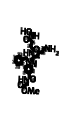 COC(=O)CNC(=O)c1ccc2c(c1)nc(C(CCCCN)NC(=O)CCC(=O)NO)n2Cc1ccccc1